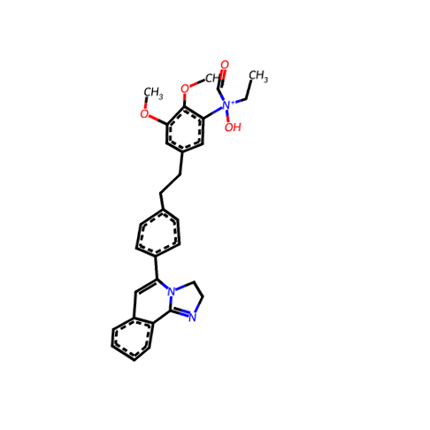 CC[N+](O)(C=O)c1cc(CCc2ccc(C3=Cc4ccccc4C4=NCCN34)cc2)cc(OC)c1OC